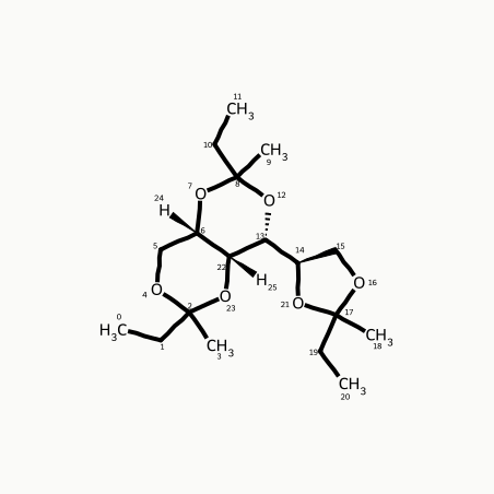 CCC1(C)OC[C@@H]2OC(C)(CC)O[C@H]([C@H]3COC(C)(CC)O3)[C@@H]2O1